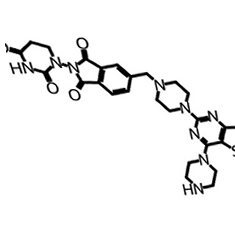 O=C1CCN(N2C(=O)c3ccc(CN4CCN(c5nc6c(c(N7CCNCC7)n5)SCC6)CC4)cc3C2=O)C(=O)N1